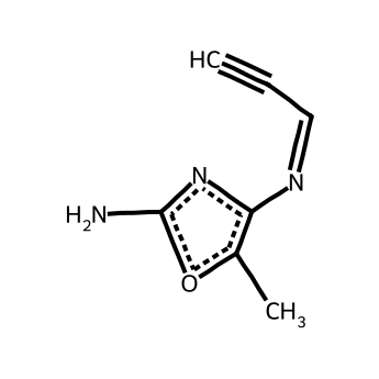 C#C/C=N\c1nc(N)oc1C